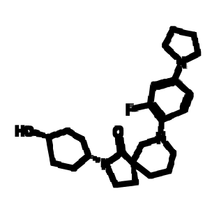 O=C1N([C@H]2CC[C@H](O)CC2)CC[C@@]12CCCN(c1ccc(N3CCCC3)cc1F)C2